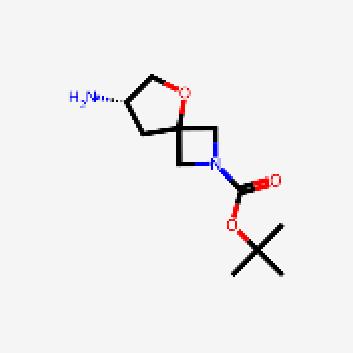 CC(C)(C)OC(=O)N1CC2(C[C@H](N)CO2)C1